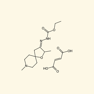 CCOC(=O)NN=C1CC2(CCN(C)CC2)OC1C.O=C(O)/C=C/C(=O)O